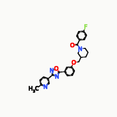 Cc1ccc(-c2noc(-c3cccc(OCC4CCCN(C(=O)c5ccc(F)cc5)C4)c3)n2)cn1